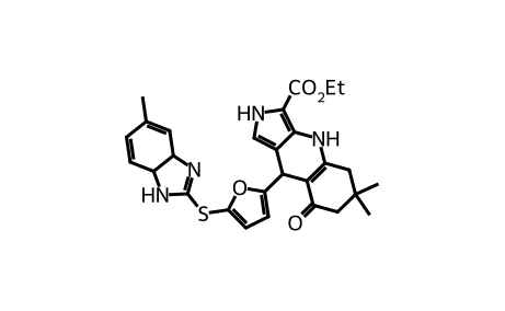 CCOC(=O)c1[nH]cc2c1NC1=C(C(=O)CC(C)(C)C1)C2c1ccc(SC2=NC3C=C(C)C=CC3N2)o1